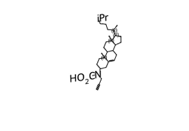 C#CCN(C(=O)O)C1CC[C@@]2(C)C(=CCC3C2CC[C@@]2(C)C3CC[C@@H]2[C@H](C)CCCC(C)C)C1